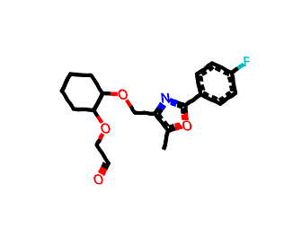 Cc1oc(-c2ccc(F)cc2)nc1COC1CCCCC1OCC=O